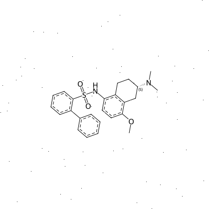 COc1ccc(NS(=O)(=O)c2ccccc2-c2ccccc2)c2c1C[C@@H](N(C)C)CC2